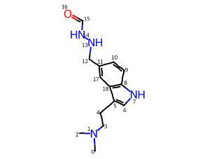 CN(C)CCc1c[nH]c2ccc(CNNC=O)cc12